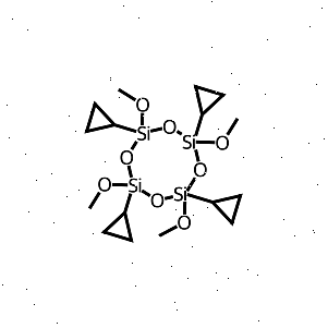 CO[Si]1(C2CC2)O[Si](OC)(C2CC2)O[Si](OC)(C2CC2)O[Si](OC)(C2CC2)O1